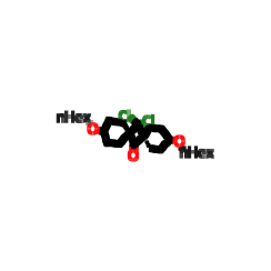 CCCCCCOC1CC[C@]2(CC1)C(=O)[C@@]1(CCC(OCCCCCC)CC1)C2(Cl)Cl